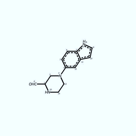 O=CC1CN(c2ccc3[nH][c]cc3c2)CCN1